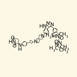 Cc1cc(-c2ncnc3[nH]c4cc(N5CCC6(CC5)CCN(C5CC(c7ccc(NC8CCC(=O)NC8=O)cc7)C5)C6)ccc4c23)ccc1[C@@H](C)NC(=O)c1nc(C(C)(C)C)no1